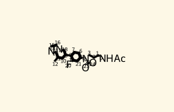 CC(=O)NCC1CN(c2ccc(-c3cc(C)c4nccn4c3)c(F)c2)C(=O)O1